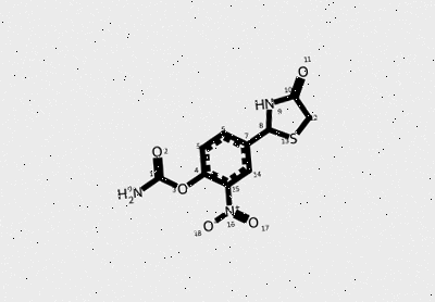 NC(=O)Oc1ccc(C2NC(=O)CS2)cc1[N+](=O)[O-]